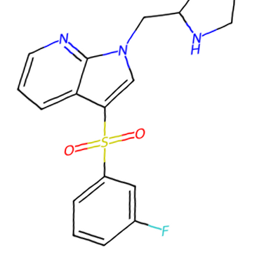 O=S(=O)(c1cccc(F)c1)c1cn(CC2CCCN2)c2ncccc12